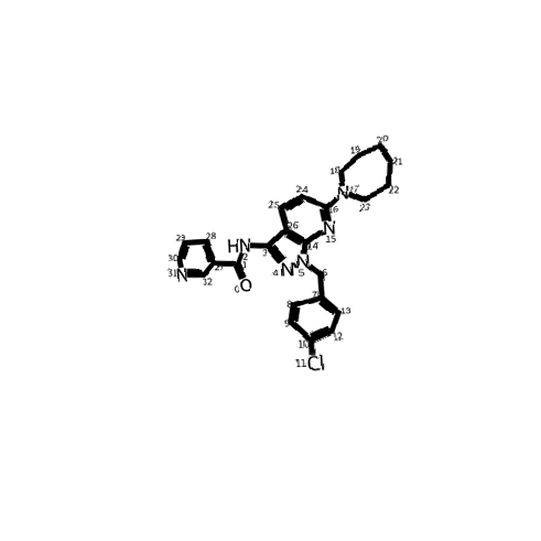 O=C(Nc1nn(Cc2ccc(Cl)cc2)c2nc(N3CCCCCC3)ccc12)c1cccnc1